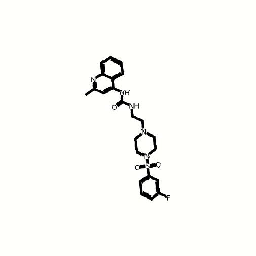 Cc1cc(NC(=O)NCCN2CCN(S(=O)(=O)c3cccc(F)c3)CC2)c2ccccc2n1